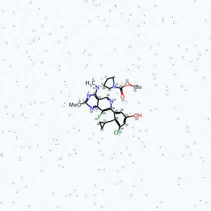 COc1nc(N(C)[C@@H]2CCN(C(=O)OC(C)(C)C)C2)c2cnc(-c3cc(O)cc(Cl)c3C3CC3)c(F)c2n1